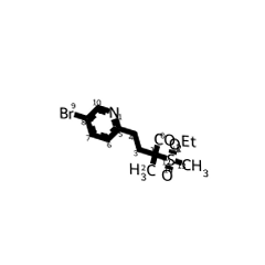 CCOC(=O)C(C)(CCc1ccc(Br)cn1)S(C)(=O)=O